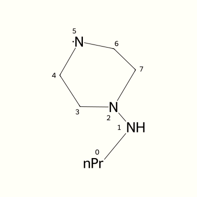 CCCNN1CC[N]CC1